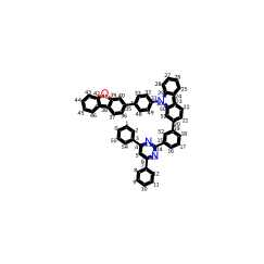 c1ccc(-c2cc(-c3ccccc3)nc(-c3cccc(-c4ccc5c6ccccc6n(-c6ccc(-c7ccc8c(c7)oc7ccccc78)cc6)c5c4)c3)n2)cc1